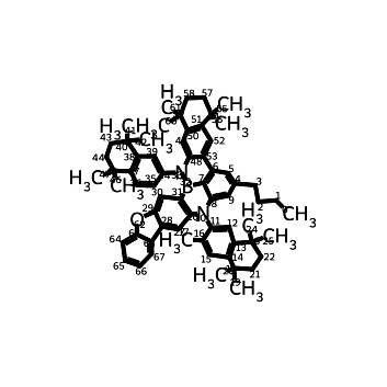 CCCCc1cc2c3c(c1)N(c1cc4c(cc1C)C(C)(C)CCC4(C)C)c1cc4c(cc1B3N(c1ccc3c(c1)C(C)(C)CCC3(C)C)c1cc3c(cc1-2)C(C)(C)CCC3(C)C)oc1ccccc14